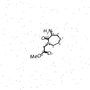 COC(=O)CN1CCSCC(N)C1=O